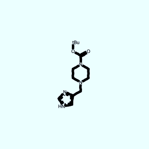 CC(C)(C)OC(=O)N1CCN(Cc2c[nH]cn2)CC1